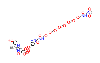 CCc1c2c(nc3ccc(O)cc13)-c1cc3c(c(=O)n1C2)COC(=O)[C@H]3OC(=O)OCc1ccc(NC(=O)CNC(=O)CCOCCOCCOCCOCCOCCOCCOCCOCCNC(=O)CCN2C(=O)C=CC2=O)cc1